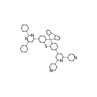 c1ccc(-c2cc(-c3ccc4c(c3)Sc3cc(-c5cc(-c6ccncc6)nc(-c6ccncc6)c5)ccc3C43c4ccccc4-c4ccccc43)nc(-c3ccccc3)n2)cc1